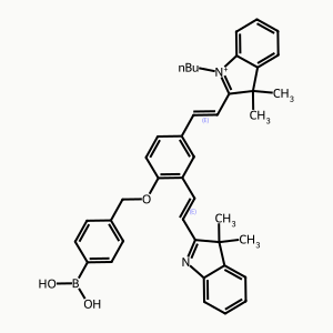 CCCC[N+]1=C(/C=C/c2ccc(OCc3ccc(B(O)O)cc3)c(/C=C/C3=Nc4ccccc4C3(C)C)c2)C(C)(C)c2ccccc21